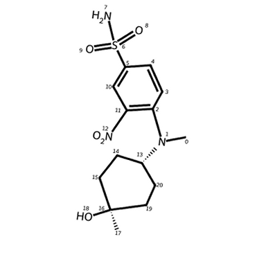 CN(c1ccc(S(N)(=O)=O)cc1[N+](=O)[O-])[C@H]1CC[C@](C)(O)CC1